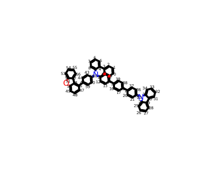 c1ccc(-c2ccccc2N(c2ccc(-c3ccc(-c4ccc(-n5c6ccccc6c6ccccc65)cc4)cc3)cc2)c2ccc(-c3cccc4oc5ccccc5c34)cc2)cc1